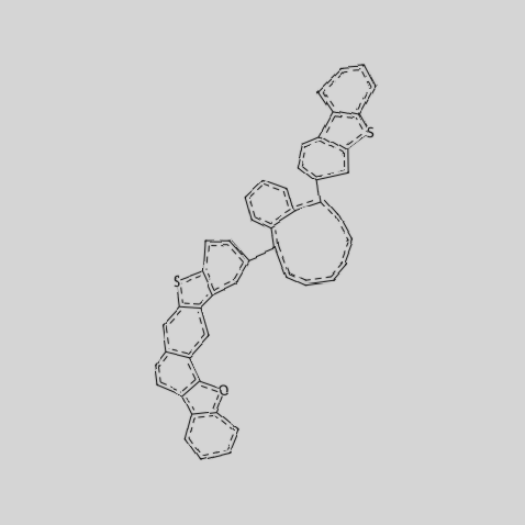 c1cccc(-c2ccc3sc4cc5ccc6c7ccccc7oc6c5cc4c3c2)c2ccccc2c(-c2ccc3c(c2)sc2ccccc23)cc1